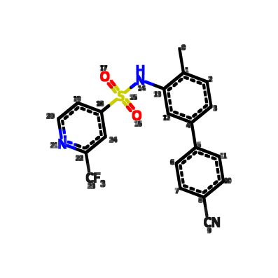 Cc1ccc(-c2ccc(C#N)cc2)cc1NS(=O)(=O)c1ccnc(C(F)(F)F)c1